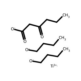 CCCC(=O)CC(=O)[O-].CCCC[O-].CCCC[O-].[Ti+3]